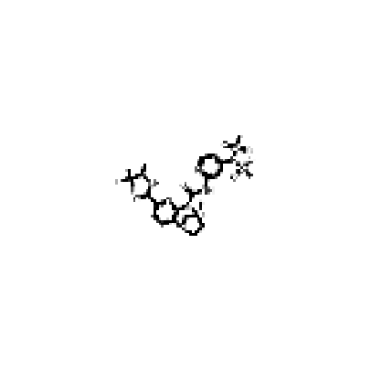 CC(NC(=O)c1ccc2c(n1)N(C(=O)Nc1cc(N(S(C)(=O)=O)S(C)(=O)=O)ccn1)[C@H]1CCN2C1)C(F)(F)F